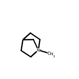 C[N+]12CCC(CC1)C2